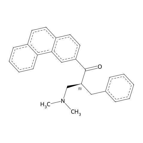 CN(C)C[C@H](Cc1ccccc1)C(=O)c1ccc2ccc3ccccc3c2c1